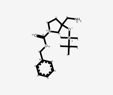 CC(C)(C)[Si](C)(C)OC1(CN)CCN(C(=O)OCc2ccccc2)C1